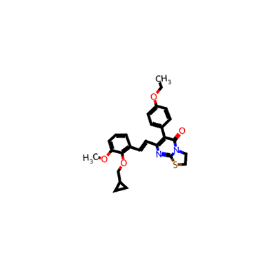 CCOc1ccc(-c2c(/C=C/c3cccc(OC)c3OCC3CC3)nc3n(c2=O)CCS3)cc1